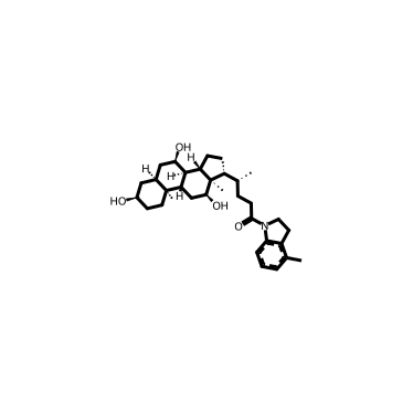 Cc1cccc2c1CCN2C(=O)CC[C@@H](C)[C@H]1CC[C@H]2[C@@H]3[C@H](O)C[C@@H]4C[C@H](O)CC[C@]4(C)[C@H]3C[C@H](O)[C@]12C